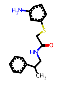 CC(CNC(=O)CSc1cccc(N)c1)c1ccccc1